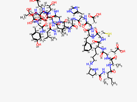 CC[C@H](C)[C@H](NC(=O)[C@@H]1CCCN1)C(=O)N[C@@H](C)C(=O)N[C@@H](CCC(=O)O)C(=O)N[C@@H](CCCCN)C(=O)N[C@@H](CS)C(=O)N[C@@H](Cc1ccccc1)C(=O)N[C@@H](CC(=O)O)C(=O)N[C@@H](Cc1c[nH]cn1)C(=O)N[C@@H](C)C(=O)N[C@@H](C)C(=O)NCC(=O)N[C@H](C(=O)N[C@@H](CO)C(=O)N[C@@H](Cc1ccc(O)cc1)C(=O)N[C@H](C(=O)N[C@H](C(=O)NCC(=O)N[C@@H](CCC(=O)O)C(=O)N[C@H](C(=O)O)[C@@H](C)O)C(C)C)C(C)C)[C@@H](C)O